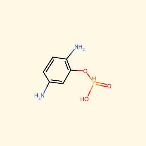 Nc1ccc(N)c(O[PH](=O)O)c1